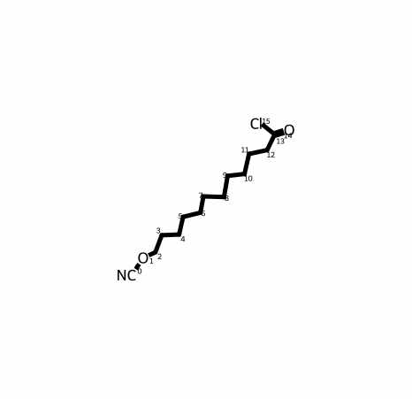 N#COCCCCCCCCCCCC(=O)Cl